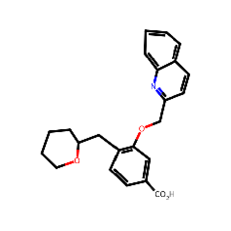 O=C(O)c1ccc(CC2CCCCO2)c(OCc2ccc3ccccc3n2)c1